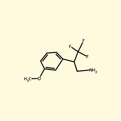 COc1cccc(C(CN)C(F)(F)F)c1